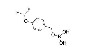 OB(O)OCc1ccc(OC(F)F)cc1